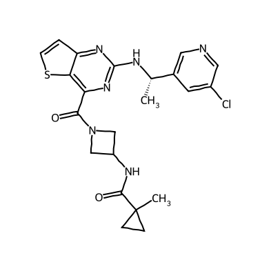 C[C@H](Nc1nc(C(=O)N2CC(NC(=O)C3(C)CC3)C2)c2sccc2n1)c1cncc(Cl)c1